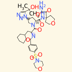 CC(C)(O)c1cnnn1[C@H]1C[C@@H](C(=O)NC2(C(=O)C(N)=O)CCOCC2)N(C(=O)/C(CC2CCCCC2)=N/C(=O)c2ccc(S(=O)(=O)N3CCOCC3)cc2)C1